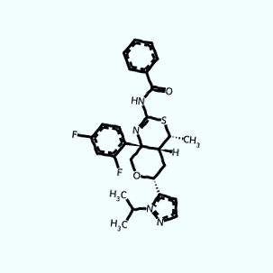 CC(C)n1nccc1[C@H]1C[C@H]2[C@@H](C)SC(NC(=O)c3ccccc3)=N[C@@]2(c2ccc(F)cc2F)CO1